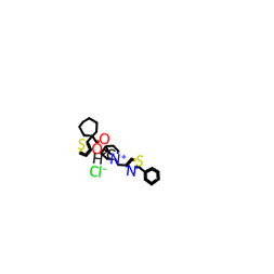 O=C(O[C@H]1C[N+]2(Cc3csc(-c4ccccc4)n3)CCC1CC2)C1(c2cccs2)CCCCCC1.[Cl-]